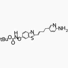 CC(C)(C)OC(=O)NOc1ccc2nc(/C=C/CCc3ccc(N)nc3)sc2c1